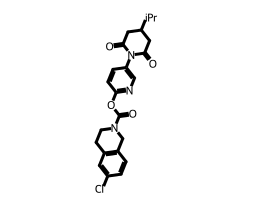 CC(C)C1CC(=O)N(c2ccc(OC(=O)N3CCc4cc(Cl)ccc4C3)nc2)C(=O)C1